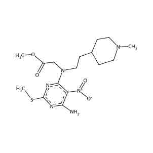 COC(=O)CN(CCC1CCN(C)CC1)c1nc(SC)nc(N)c1[N+](=O)[O-]